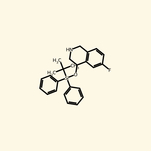 CC(C)(C)[Si](OC1CNCc2ccc(F)cc21)(c1ccccc1)c1ccccc1